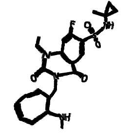 CCn1c(=O)n(CC2=C(NC)CC=CC=C2)c(=O)c2cc(S(=O)(=O)NC3(C)CC3)c(F)cc21